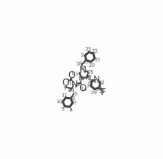 O=C1OC[C@@H](Cc2ccccc2)N1C(=O)[C@H]1CN(Cc2ccccc2)C[C@@H]1c1ccc(F)cn1